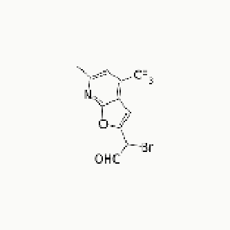 Cc1cc(C(F)(F)F)c2cc(C(Br)C=O)oc2n1